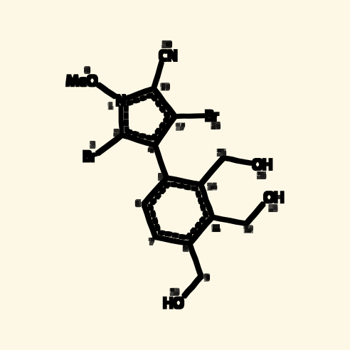 COn1c(Br)c(-c2ccc(CO)c(CO)c2CO)c(Br)c1C#N